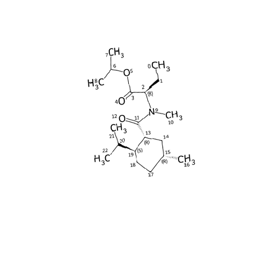 CC[C@H](C(=O)OC(C)C)N(C)C(=O)[C@@H]1C[C@H](C)CC[C@H]1C(C)C